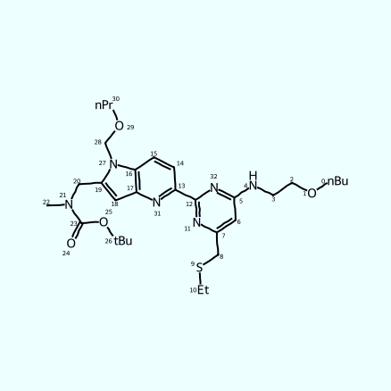 CCCCOCCNc1cc(CSCC)nc(-c2ccc3c(cc(CN(C)C(=O)OC(C)(C)C)n3COCCC)n2)n1